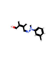 C/C(C=O)=C(C)/C=N\N(C)c1cccc(C)c1